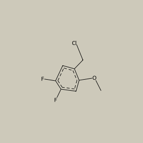 COc1cc(F)c(F)cc1CCl